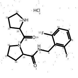 Cl.O=C(NCc1c(F)cccc1F)C1CCCN1C(=O)C1CCCN1